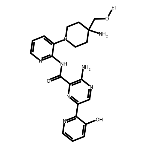 CCOCC1(N)CCN(c2cccnc2NC(=O)c2nc(-c3ncccc3O)cnc2N)CC1